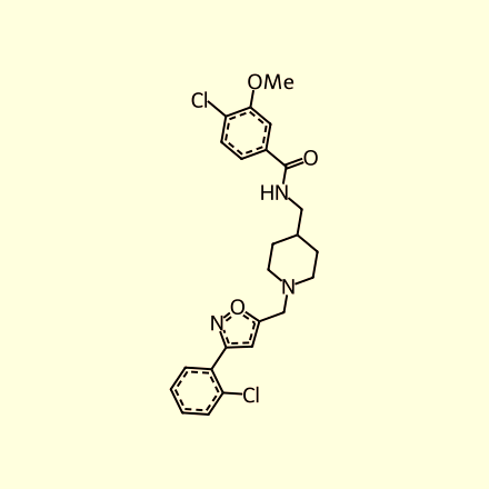 COc1cc(C(=O)NCC2CCN(Cc3cc(-c4ccccc4Cl)no3)CC2)ccc1Cl